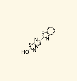 Oc1nn2cc(-c3nc4ccccc4s3)nc2s1